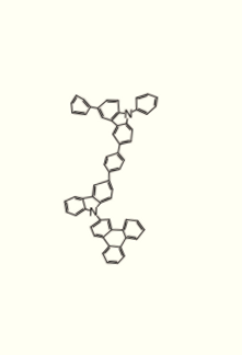 c1ccc(-c2ccc3c(c2)c2cc(-c4ccc(-c5ccc6c(c5)c5ccccc5n6-c5ccc6c7ccccc7c7ccccc7c6c5)cc4)ccc2n3-c2ccccc2)cc1